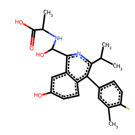 Cc1cc(-c2c(C(C)C)nc(C(O)NC(C)C(=O)O)c3cc(O)ccc23)ccc1F